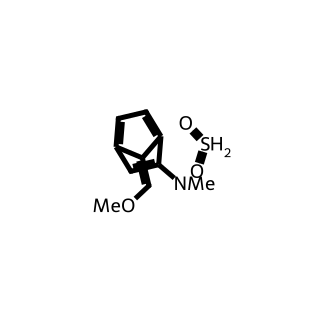 CNC1=CC2=CC=C1C2=COC.O=[SH2]=O